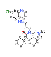 CCN(CC)CCN(CCCNc1ccnc2cc(Cl)ccc12)C(=O)C(C1CCCCC1)C1CCCCC1